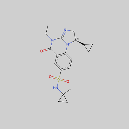 CCN1C(=O)c2cc(S(=O)(=O)NC3(C)CC3)ccc2N2C1=NC[C@H]2C1CC1